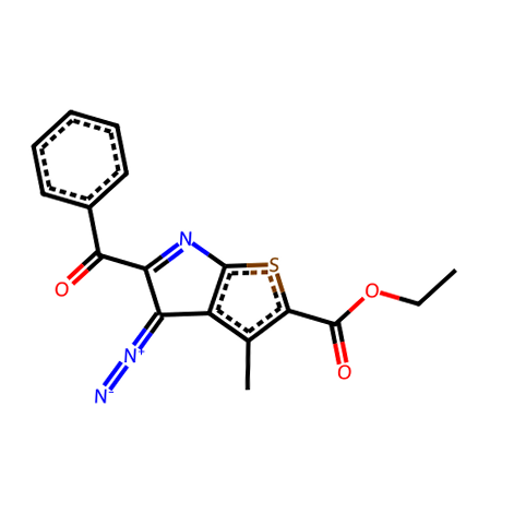 CCOC(=O)c1sc2c(c1C)C(=[N+]=[N-])C(C(=O)c1ccccc1)=N2